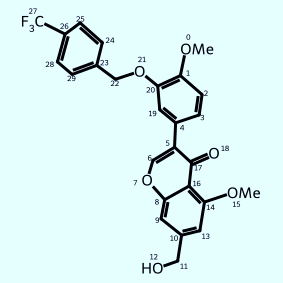 COc1ccc(-c2coc3cc(CO)cc(OC)c3c2=O)cc1OCc1ccc(C(F)(F)F)cc1